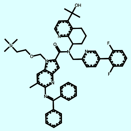 Cc1cc2c(cc(C(=O)N(Cc3ccc(-c4c(F)cccc4F)cn3)C3CCCc4c(C(C)(C)O)ccnc43)n2COCC[Si](C)(C)C)nc1N=C(c1ccccc1)c1ccccc1